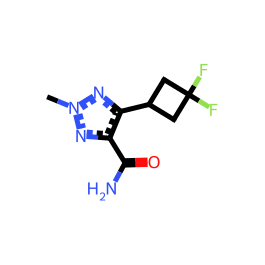 Cn1nc(C(N)=O)c(C2CC(F)(F)C2)n1